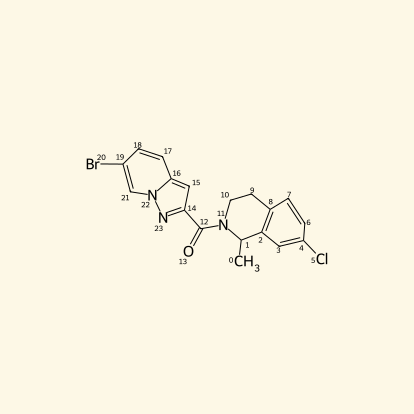 CC1c2cc(Cl)ccc2CCN1C(=O)c1cc2ccc(Br)cn2n1